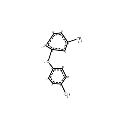 Oc1ccc(Oc2cc(C(F)(F)F)ccn2)cc1